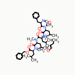 CC(C)CC(NC(=O)C(CC(C)C)N(C)C(=O)C(CC(C)C)NC(=O)C(CC(C)C)N(C)C(=O)C(Cc1ccccc1)N=C=O)C(=O)OCc1ccccc1.CCCC[O]